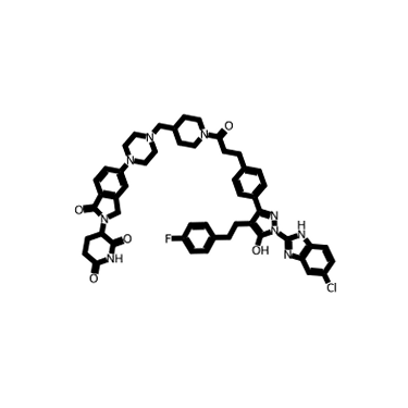 O=C1CCC(N2Cc3cc(N4CCN(CC5CCN(C(=O)CCc6ccc(-c7nn(-c8nc9cc(Cl)ccc9[nH]8)c(O)c7CCc7ccc(F)cc7)cc6)CC5)CC4)ccc3C2=O)C(=O)N1